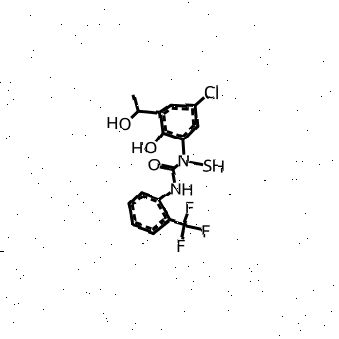 CC(O)c1cc(Cl)cc(N(S)C(=O)Nc2ccccc2C(F)(F)F)c1O